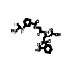 N=C(N)Nc1cccc(C(=O)NCC(=O)N[C@H](CC(=O)O)CS(=O)(=O)c2ccccc2C(=O)O)c1